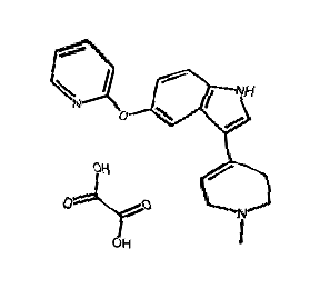 CN1CC=C(c2c[nH]c3ccc(Oc4ccccn4)cc23)CC1.O=C(O)C(=O)O